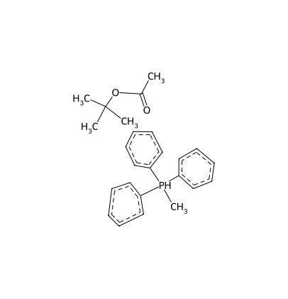 CC(=O)OC(C)(C)C.C[PH](c1ccccc1)(c1ccccc1)c1ccccc1